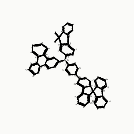 CC1(C)c2ccccc2-c2ccc(N(c3ccc(-c4ccc5c(c4)-c4ccccc4C54c5ccccc5-c5ccccc54)cc3)c3ccc4c5ccccc5c5ccccc5c4c3)cc21